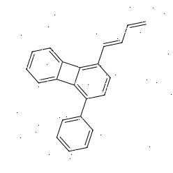 C=CC=Cc1ccc(-c2ccccc2)c2c1-c1ccccc1-2